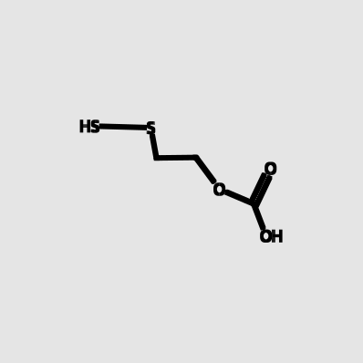 O=C(O)OCCSS